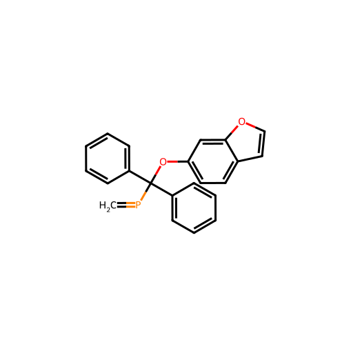 C=PC(Oc1ccc2ccoc2c1)(c1ccccc1)c1ccccc1